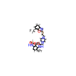 CC(C)c1ccc(NS(C)(=O)=O)c(C(C)C)c1NC(=O)CN1CCN(CCSc2nc3cccc(C(F)(F)F)c3o2)CC1